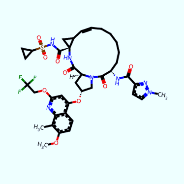 COc1ccc2c(O[C@@H]3C[C@H]4C(=O)N[C@]5(C(=O)NS(=O)(=O)C6CC6)CC5/C=C\CCCCC[C@H](NC(=O)c5ccn(C)n5)C(=O)N4C3)cc(OCC(F)(F)F)nc2c1C